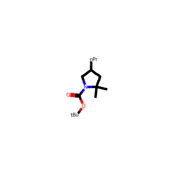 CCCC1CN(C(=O)OC(C)(C)C)C(C)(C)C1